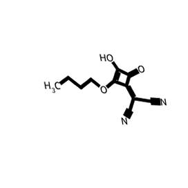 CCCCOC1=C(O)C(=O)C1=C(C#N)C#N